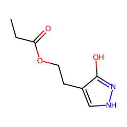 CCC(=O)OCCc1c[nH]nc1O